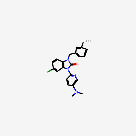 CN(C)c1ccc(-n2c(=O)n(Cc3cccc(C(=O)O)c3)c3ccc(Cl)cc32)nc1